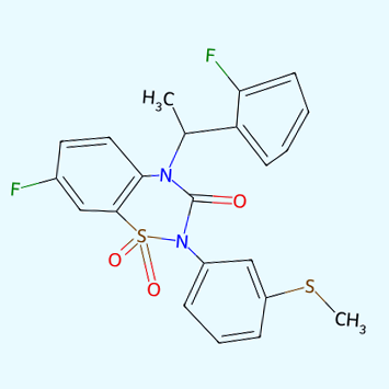 CSc1cccc(N2C(=O)N(C(C)c3ccccc3F)c3ccc(F)cc3S2(=O)=O)c1